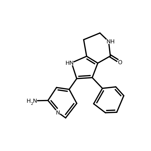 Nc1cc(-c2[nH]c3c(c2-c2ccccc2)C(=O)NCC3)ccn1